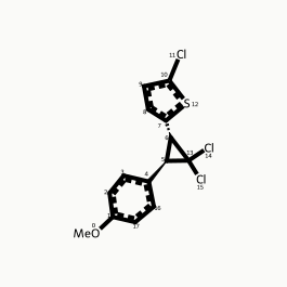 COc1ccc([C@H]2[C@H](c3ccc(Cl)s3)C2(Cl)Cl)cc1